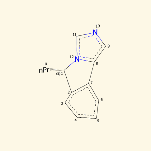 CCC[C@H]1c2ccccc2-c2cncn21